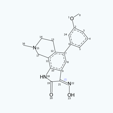 COc1cccc(-c2cc3c(c4c2CCN(C)C4)NC(=O)/C3=N\O)c1